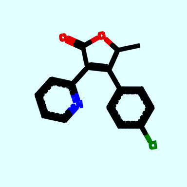 CC1OC(=O)C(c2ccccn2)=C1c1ccc(Cl)cc1